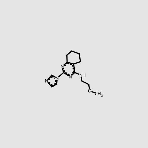 COCCNc1nc(-n2ccnc2)nc2c1CCCC2